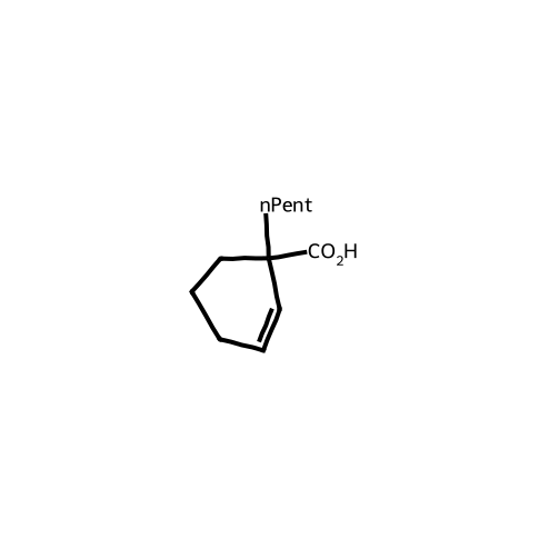 CCCCCC1(C(=O)O)C=CCCC1